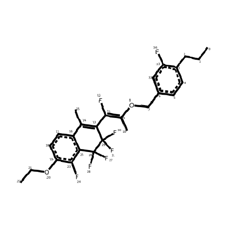 CCCc1ccc(CO/C(C)=C(\F)C2=C(C)c3ccc(OCC)c(F)c3C(F)(F)C2(F)F)cc1F